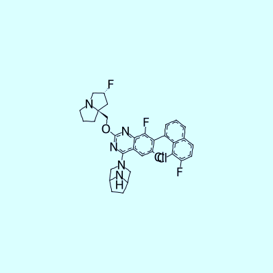 Fc1ccc2cccc(-c3c(Cl)cc4c(N5CC6CCC(C5)N6)nc(OC[C@@]56CCCN5C[C@H](F)C6)nc4c3F)c2c1Cl